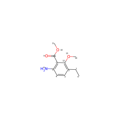 CCc1ccc(N)c(C(=O)OC)c1OC